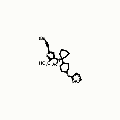 CC(=O)N(c1cc(C#CC(C)(C)C)sc1C(=O)O)C1(C2CCC(Sc3ccccn3)CC2)CCCCC1